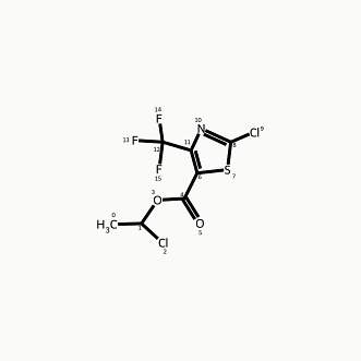 CC(Cl)OC(=O)c1sc(Cl)nc1C(F)(F)F